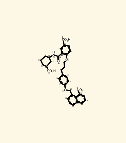 O=C(O)c1ccc(OCCCc2ccc(OCc3cccc4cccc([N+](=O)[O-])c34)cc2)c(C(=O)NC2CCCC(C(=O)O)C2)c1